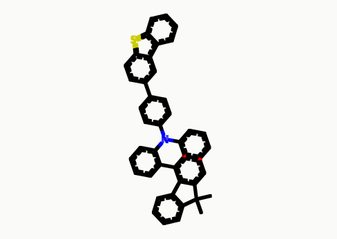 CC1(C)c2ccccc2-c2c(-c3ccccc3N(c3ccccc3)c3ccc(-c4ccc5sc6ccccc6c5c4)cc3)cccc21